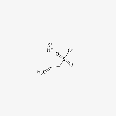 C=CCS(=O)(=O)[O-].F.[K+]